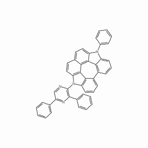 c1ccc(-c2cnc(-n3c4cccc5c4c4c6c(ccc7c6c6c-5cccc6n7-c5ccccc5)ccc43)c(-c3ccccc3)n2)cc1